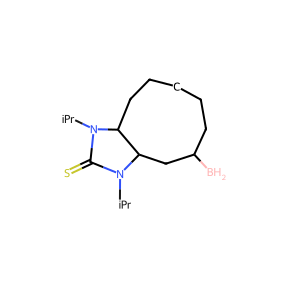 BC1CCCCCC2C(C1)N(C(C)C)C(=S)N2C(C)C